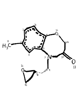 Cc1ccc2c(c1)N(C[C@@H]1CO1)C(=O)CO2